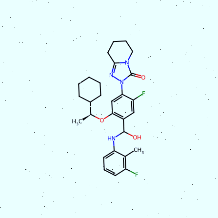 Cc1c(F)cccc1NC(O)c1cc(F)c(-n2nc3n(c2=O)CCCC3)cc1O[C@@H](C)C1CCCCC1